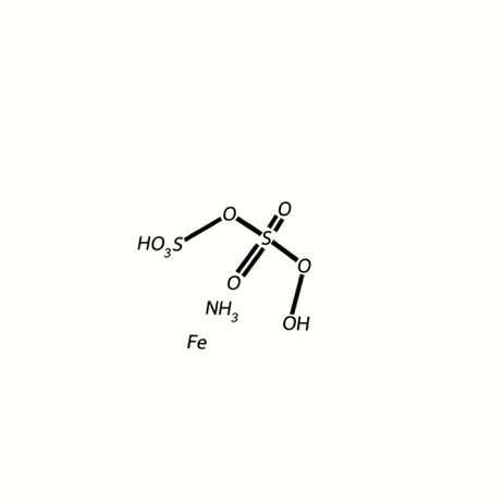 N.O=S(=O)(O)OS(=O)(=O)OO.[Fe]